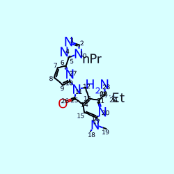 CCCn1cnnc1-c1cccc(N2Cc3c(cc(N(C)C)nc3[C@H](N)CC)C2=O)n1